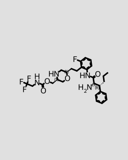 CCC[C@H](c1ccccc1)[C@H](N)C(=O)Nc1cccc(F)c1CC[C@@H]1CN[C@H](COC(=O)NCC(F)(F)F)CO1